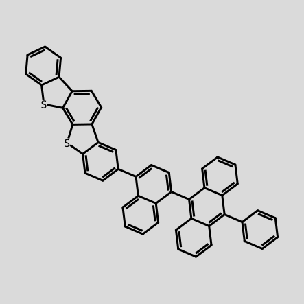 c1ccc(-c2c3ccccc3c(-c3ccc(-c4ccc5sc6c(ccc7c8ccccc8sc76)c5c4)c4ccccc34)c3ccccc23)cc1